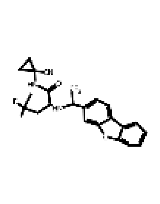 CC(C)(F)CC(NC(c1ccc2c(c1)oc1ccccc12)C(F)(F)F)C(=O)NC1(C#N)CC1